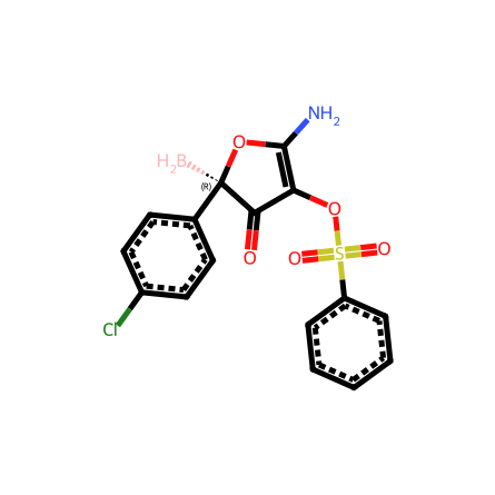 B[C@]1(c2ccc(Cl)cc2)OC(N)=C(OS(=O)(=O)c2ccccc2)C1=O